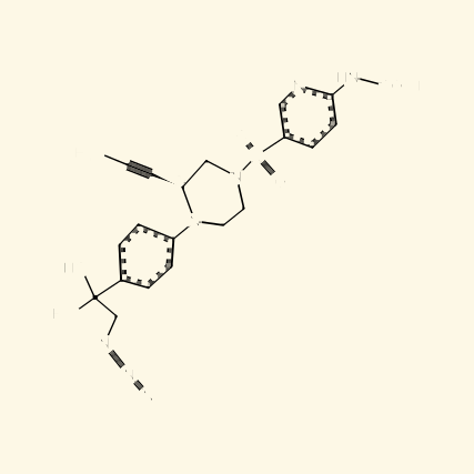 CC#C[C@H]1CN(S(=O)(=O)c2ccc(NC(=O)O)nc2)CCN1c1ccc(C(O)(CN=[N+]=[N-])C(F)(F)F)cc1